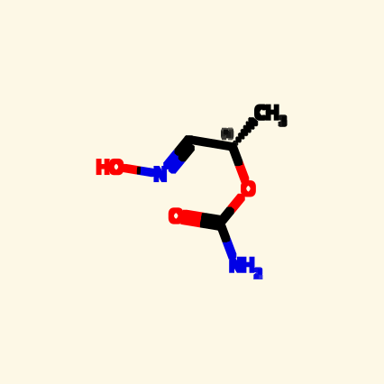 C[C@@H](C=NO)OC(N)=O